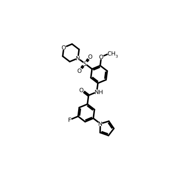 COc1ccc(NC(=O)c2cc(F)cc(-n3cccc3)c2)cc1S(=O)(=O)N1CCOCC1